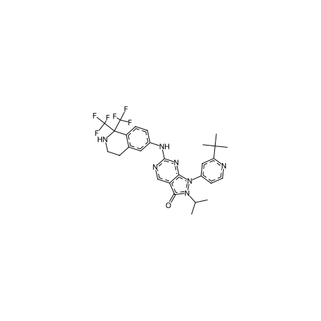 CC(C)n1c(=O)c2cnc(Nc3ccc4c(c3)CCNC4(C(F)(F)F)C(F)(F)F)nc2n1-c1ccnc(C(C)(C)C)c1